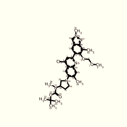 COCOc1c(-c2cc(Cl)c3cc(N4CCC(N(C)C(=O)OC(C)(C)C)C4)c(C)cc3n2)cc2cn(C)nc2c1C